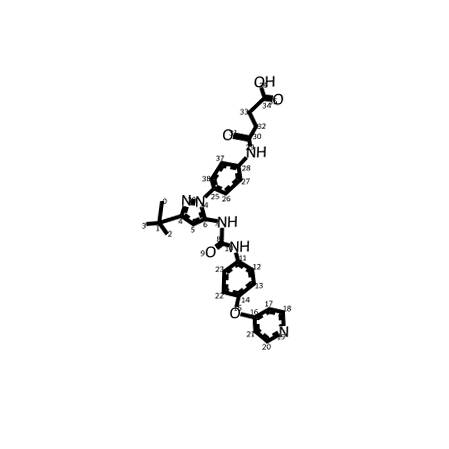 CC(C)(C)c1cc(NC(=O)Nc2ccc(Oc3ccncc3)cc2)n(-c2ccc(NC(=O)CCC(=O)O)cc2)n1